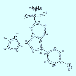 CNS(=O)(=O)c1ccc2c(c1)c(-c1cnco1)cn2-c1ccc(C(F)(F)F)cc1